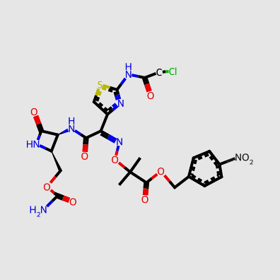 CC(C)(O/N=C(\C(=O)N[C@@H]1C(=O)N[C@@H]1COC(N)=O)c1csc(NC(=O)CCl)n1)C(=O)OCc1ccc([N+](=O)[O-])cc1